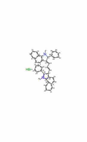 Br.CN1c2c(ccc3ccccc23)C(=CC=Cc2c(-c3ccccc3)n(C)c3c2ccc2ccccc23)C1c1ccccc1